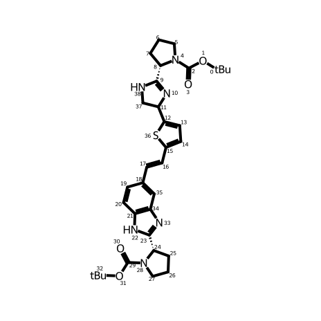 CC(C)(C)OC(=O)N1CCC[C@H]1C1=NC(c2ccc(C=Cc3ccc4[nH]c([C@@H]5CCCN5C(=O)OC(C)(C)C)nc4c3)s2)CN1